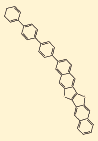 C1=CC(c2ccc(-c3ccc(-c4ccc5cc6c(cc5c4)sc4c5cc7ccccc7cc5sc64)cc3)cc2)=CCC1